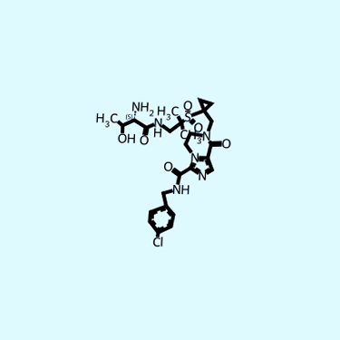 CC(O)[C@H](N)C(=O)NCC(C)(C)S(=O)(=O)C1(CN2CCn3c(cnc3C(=O)NCc3ccc(Cl)cc3)C2=O)CC1